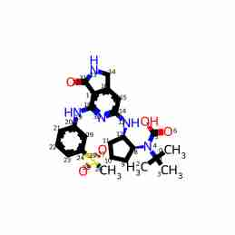 CC(C)(C)N(C(=O)O)[C@H]1CCC[C@H]1Nc1cc2c(c(Nc3cccc(S(C)(=O)=O)c3)n1)C(=O)NC2